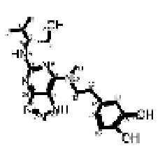 CC(C)[C@H](CO)Nc1nc(N(C)CCc2ccc(O)c(O)c2)c2[nH]nnc2n1